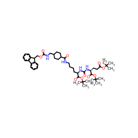 CC(C)(C)OC(=O)CC[C@H](NC(=O)NC(CCCCNC(=O)C1CCC(CNC(=O)OCC2c3ccccc3-c3ccccc32)CC1)C(=O)OC(C)(C)C)C(=O)OC(C)(C)C